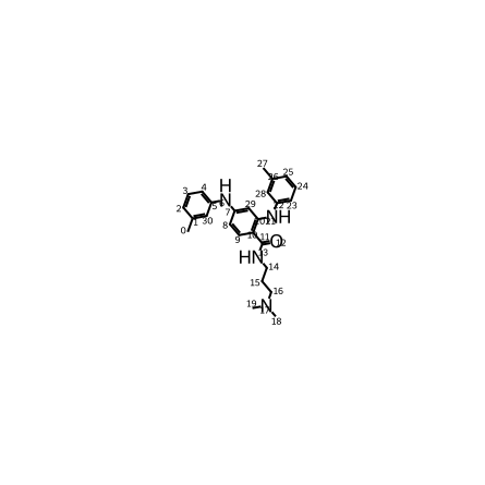 Cc1cccc(Nc2ccc(C(=O)NCCCN(C)C)c(Nc3cccc(C)c3)c2)c1